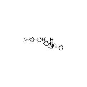 C=C(c1ccc(F)c(NC(=O)OCc2ccccc2)c1)N1CCC(c2ccc(C#N)cc2)CC1